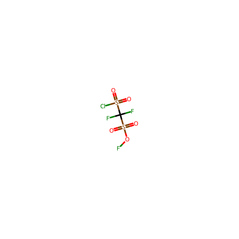 O=S(=O)(Cl)C(F)(F)S(=O)(=O)OF